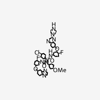 COc1ccc(N(C(=O)Nc2cccc(Oc3ccc4nccnc4c3)c2)N(C(=O)Nc2ccc(F)c(Oc3ccc4ncc(N5CCNCC5)nc4c3)c2)c2ccc(Cl)c(F)c2)cc1